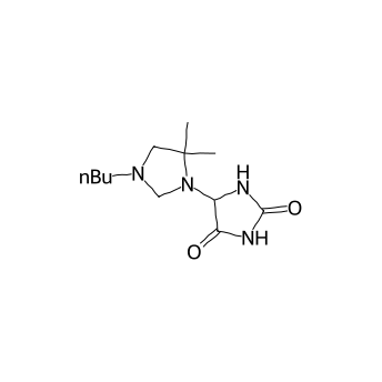 CCCCN1CN(C2NC(=O)NC2=O)C(C)(C)C1